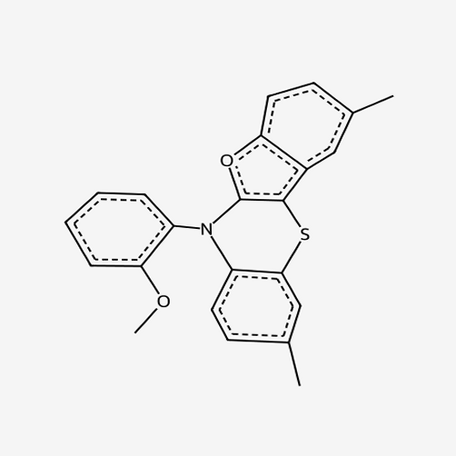 COc1ccccc1N1c2ccc(C)cc2Sc2c1oc1ccc(C)cc21